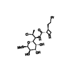 CS[C@H]1O[C@H]([C@H](NC(=O)[C@H]2NC[C@@H]2CCC(C)C)[C@H](C)Cl)[C@H](O)[C@H](O)[C@H]1O